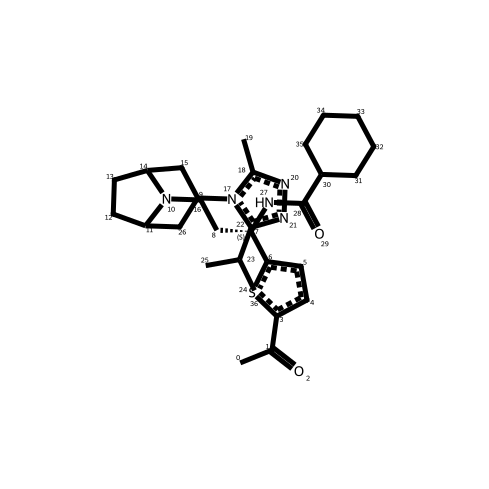 CC(=O)c1ccc([C@H](CCN2C3CCC2CC(n2c(C)nnc2C(C)C)C3)NC(=O)C2CCCCC2)s1